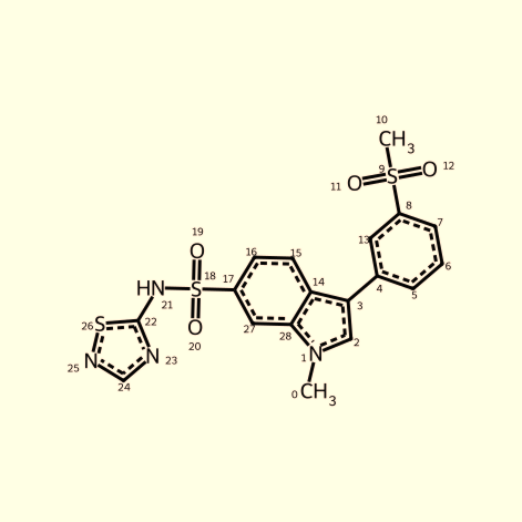 Cn1cc(-c2cccc(S(C)(=O)=O)c2)c2ccc(S(=O)(=O)Nc3ncns3)cc21